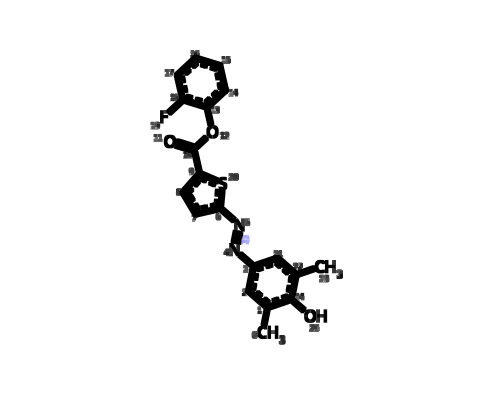 Cc1cc(/N=N/c2ccc(C(=O)Oc3ccccc3F)s2)cc(C)c1O